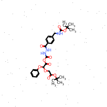 CC(C)(C)OC(=O)COC(Oc1ccccc1)C(=O)OC(=O)NNC(=O)c1ccc(CNC(=O)OC(C)(C)C)cc1